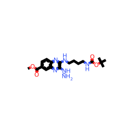 COC(=O)c1ccc2nc(NCCCCNC(=O)OC(C)(C)C)c(NN)nc2c1